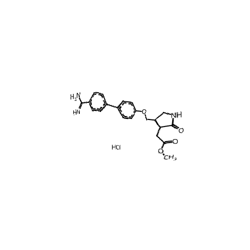 COC(=O)CC1C(=O)NCC1COc1ccc(-c2ccc(C(=N)N)cc2)cc1.Cl